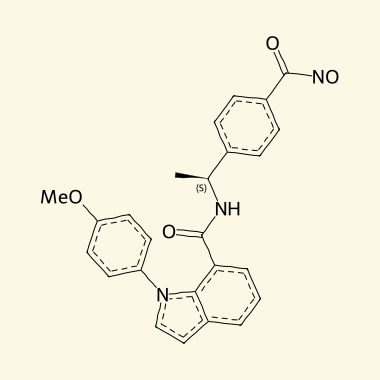 COc1ccc(-n2ccc3cccc(C(=O)N[C@@H](C)c4ccc(C(=O)N=O)cc4)c32)cc1